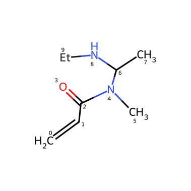 C=CC(=O)N(C)C(C)NCC